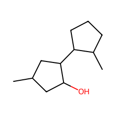 CC1CC(O)C(C2CCCC2C)C1